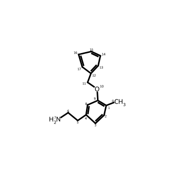 Cc1ccc(CCN)cc1OCc1ccccc1